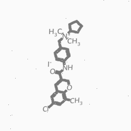 Cc1cc(Cl)cc2c1OCC(C(=O)Nc1ccc(C[N+](C)(C)C3CCCC3)cc1)=C2.[I-]